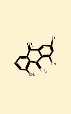 C=c1c2cccc(C)c2c(=C)c2c(C#N)cc(CC)cc12